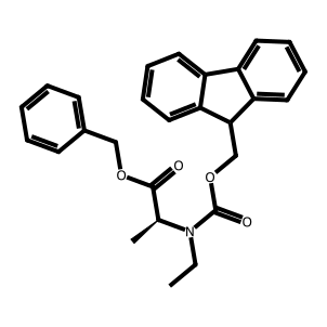 CCN(C(=O)OCC1c2ccccc2-c2ccccc21)[C@@H](C)C(=O)OCc1ccccc1